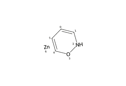 C1=CNOC=C1.[Zn]